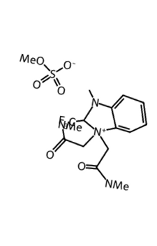 CNC(=O)C[N+]1(CC(=O)NC)c2ccccc2N(C)C1C(F)(F)F.COS(=O)(=O)[O-]